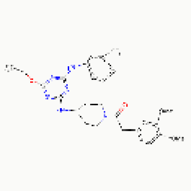 COc1ccc(CC(=O)N2CCC(Nc3nc(Nc4cccc(C(F)(F)F)c4)nc(OCC(F)(F)F)n3)CC2)cc1OC